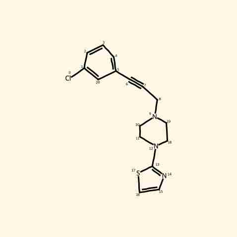 Clc1cccc(C#CCN2CCN(c3nccs3)CC2)c1